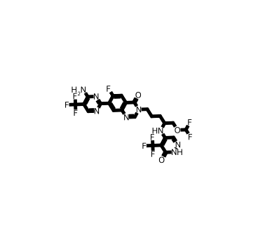 Nc1nc(-c2cc3ncn(CCCC(COC(F)F)Nc4cn[nH]c(=O)c4C(F)(F)F)c(=O)c3cc2F)ncc1C(F)(F)F